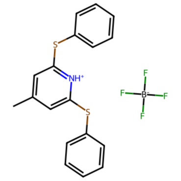 Cc1cc(Sc2ccccc2)[nH+]c(Sc2ccccc2)c1.F[B-](F)(F)F